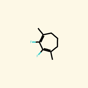 CC1=C(F)C(F)=C(C)CCC1